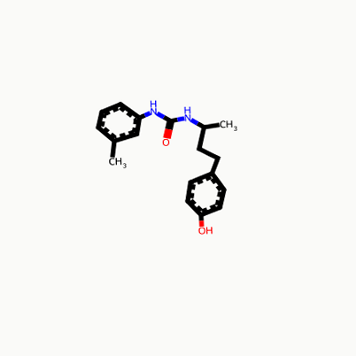 Cc1cccc(NC(=O)NC(C)CCc2ccc(O)cc2)c1